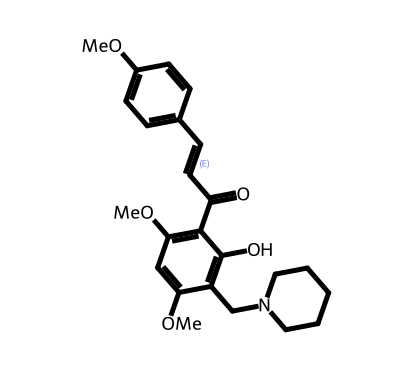 COc1ccc(/C=C/C(=O)c2c(OC)cc(OC)c(CN3CCCCC3)c2O)cc1